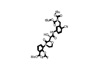 COC(=O)c1cccc(N2CCO[C@H]([C@@H](O)C(=O)Nc3ccc(C#N)c(CN(C(=O)OC(C)(C)C)C(=O)OC(C)(C)C)c3)C2=O)c1OC(F)F